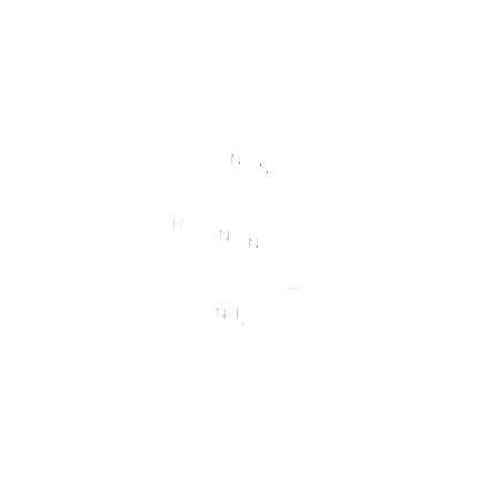 CC1=N[N+](C)(c2cn[nH]c2)C=C1N